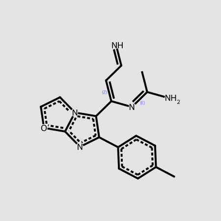 C/C(N)=N\C(=C/C=N)c1c(-c2ccc(C)cc2)nc2occn12